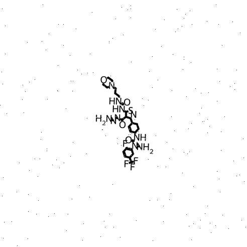 NN=NC(=O)C1C(C2C=CC(NC(=O)N(N)C3=C(F)C=CC(C(F)(F)F)C3)CC2)=NSC1NC(=O)NCCCN1CCOCC1